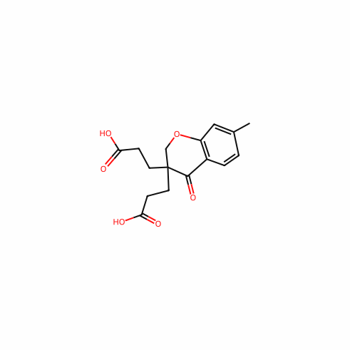 Cc1ccc2c(c1)OCC(CCC(=O)O)(CCC(=O)O)C2=O